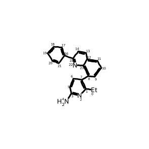 CCc1nc(N)ccc1-c1cccc2ccc(-c3ccccc3)nc12